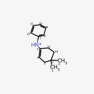 CC1(C)CC=C(Nc2ccccc2)CC1